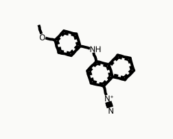 COc1ccc(Nc2ccc([N+]#N)c3ccccc23)cc1